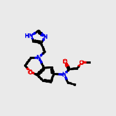 CCN(C(=O)COC)c1ccc2c(c1)N(Cc1c[nH]cn1)CCO2